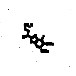 COc1cc2sc(C(=O)CCC(=O)O)nc2c(F)c1OC